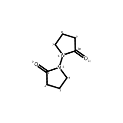 O=C1CCCN1N1CCCC1=O